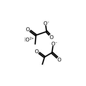 CC(=O)C(=O)[O-].CC(=O)C(=O)[O-].[O+2]